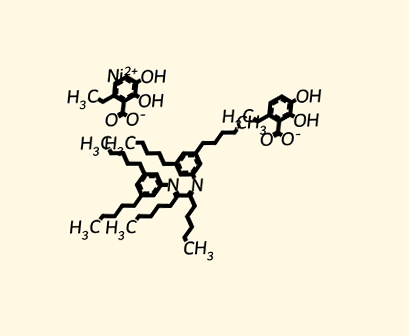 CCCCCC(=Nc1cc(CCCCC)cc(CCCCC)c1)C(CCCCC)=Nc1cc(CCCCC)cc(CCCCC)c1.CCc1ccc(O)c(O)c1C(=O)[O-].CCc1ccc(O)c(O)c1C(=O)[O-].[Ni+2]